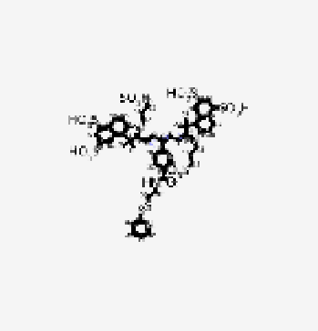 CC1(C)C(/C=C/C(=C/C=C2/N(CCCS(=O)(=O)O)c3ccc4c(S(=O)(=O)O)cc(S(=O)(=O)O)cc4c3C2(C)C)c2ccc(C(=O)NCCSSc3ccccn3)cn2)=[N+](CCCS(=O)(=O)O)c2ccc3c(S(=O)(=O)O)cc(S(=O)(=O)O)cc3c21